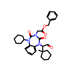 CC1(C(C=O)N2C(=O)N(CC(=O)OCc3ccccc3)C(=O)N(C3CCCCC3)c3ccccc32)CCCCC1